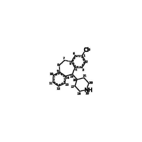 Clc1ccc2c(c1)CCc1ccccc1C2C1CCNCC1